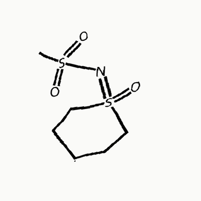 CS(=O)(=O)N=S1(=O)CC[CH]CC1